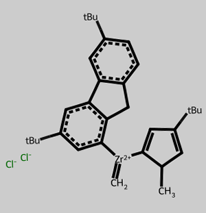 [CH2]=[Zr+2]([C]1=CC(C(C)(C)C)=CC1C)[c]1cc(C(C)(C)C)cc2c1Cc1ccc(C(C)(C)C)cc1-2.[Cl-].[Cl-]